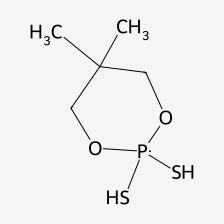 CC1(C)CO[P](S)(S)OC1